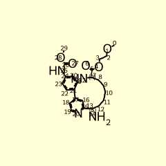 COCCOC(=O)[C@H]1CCCCC[C@H](N)c2cc(ccn2)-c2ccc(NC(=O)OC)cc2N1